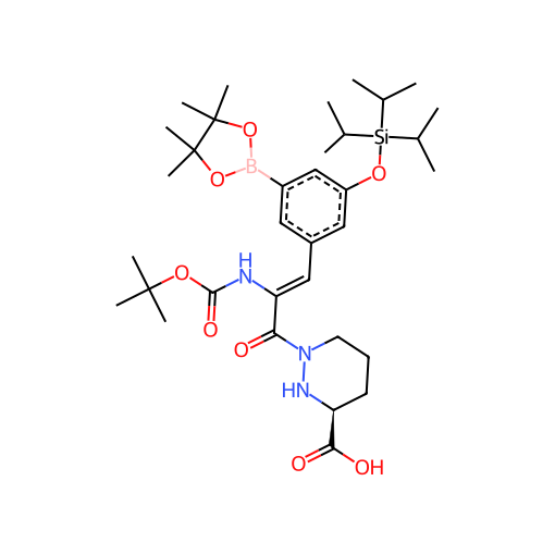 CC(C)[Si](Oc1cc(C=C(NC(=O)OC(C)(C)C)C(=O)N2CCC[C@@H](C(=O)O)N2)cc(B2OC(C)(C)C(C)(C)O2)c1)(C(C)C)C(C)C